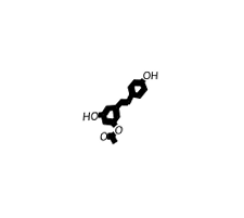 CC(=O)Oc1cc(O)cc(/C=C/c2ccc(O)cc2)c1